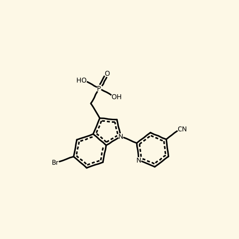 N#Cc1ccnc(-n2cc(CP(=O)(O)O)c3cc(Br)ccc32)c1